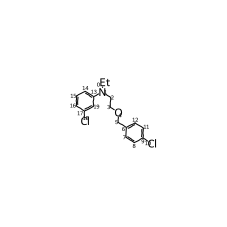 CCN(CCOCc1ccc(Cl)cc1)c1cccc(Cl)c1